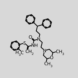 C=C(NC(=O)N(CCC(c1ccccc1)c1ccccc1)CCN1CC(C)OC(C)C1)Sc1ccccc1C